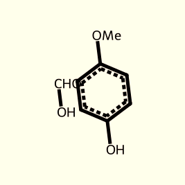 COc1ccc(O)cc1.O=CO